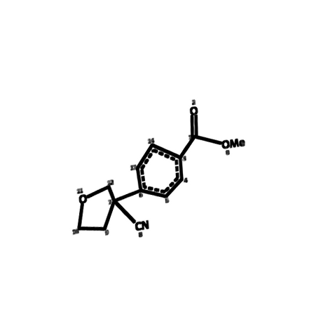 COC(=O)c1ccc(C2(C#N)CCOC2)cc1